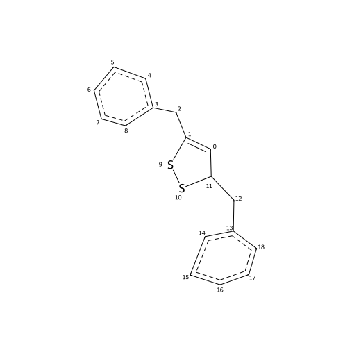 C1=C(Cc2ccccc2)SSC1Cc1ccccc1